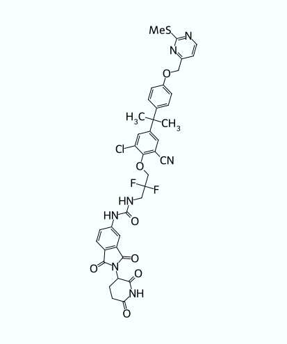 CSc1nccc(COc2ccc(C(C)(C)c3cc(Cl)c(OCC(F)(F)CNC(=O)Nc4ccc5c(c4)C(=O)N(C4CCC(=O)NC4=O)C5=O)c(C#N)c3)cc2)n1